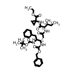 CCOC(=O)C1(NC(=O)[C@@H](NC(=O)C[C@H](NC(=O)OCc2ccccc2)C(Cc2ccccc2)NC(=O)OC(C)(C)C)[C@@H](C)CC)CC1